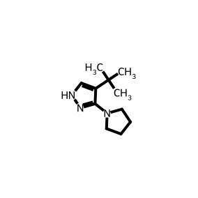 CC(C)(C)c1c[nH]nc1N1CCCC1